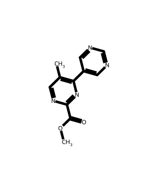 COC(=O)c1ncc(C)c(-c2cncnc2)n1